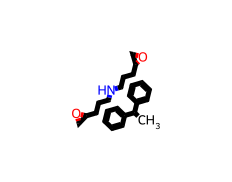 C(CNCCCC1CO1)CC1CO1.CC(c1ccccc1)c1ccccc1